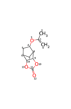 C=C(C)OC1CC2CC1C1OC(=O)OC21